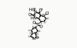 O=c1[nH]c2c(S(=O)(=O)c3ccc4cnoc4c3)ccc(Cl)c2c(=O)n1O